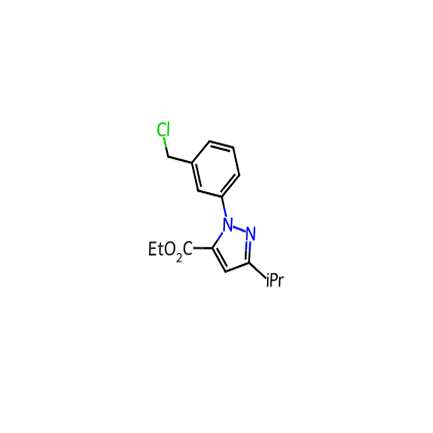 CCOC(=O)c1cc(C(C)C)nn1-c1cccc(CCl)c1